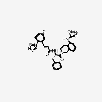 COC(=O)Nc1cccc2c1CCN(C(=O)[C@H](Cc1ccccc1)NC(=O)/C=C/c1cc(Cl)ccc1-n1cnnn1)C2